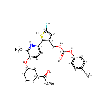 COC(=O)[C@H]1CCC[C@H](Oc2ccc(-c3sc(F)cc3COC(=O)Oc3ccc([N+](=O)[O-])cc3)nc2C)C1